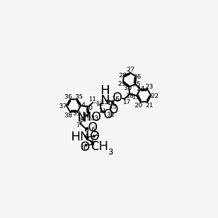 CS(=O)(=O)NC(=O)Cn1cc(C[C@H](NC(=O)OCC2c3ccccc3-c3ccccc32)C(=O)O)c2ccccc21